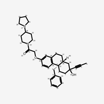 CC#CC1(O)CC[C@@]2(Cc3ccccc3)c3ccc(OCC(=O)N4CCC(N5CCCC5)CC4)cc3CC[C@@H]2C1